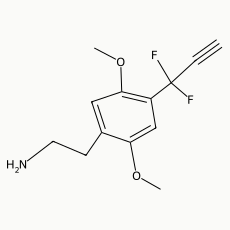 C#CC(F)(F)c1cc(OC)c(CCN)cc1OC